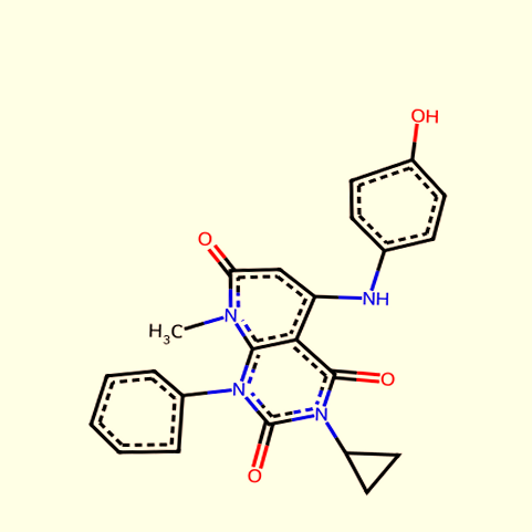 Cn1c(=O)cc(Nc2ccc(O)cc2)c2c(=O)n(C3CC3)c(=O)n(-c3ccccc3)c21